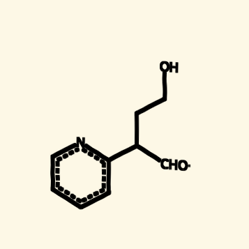 O=[C]C(CCO)c1ccccn1